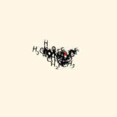 Cc1nc2c(Cl)cc(C(=O)NCC(O)(c3cc4c(c(-c5ccc(F)cc5)n3)OC[C@]4(C)C(N)=O)C(F)(F)F)cc2[nH]1